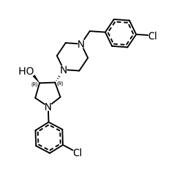 O[C@@H]1CN(c2cccc(Cl)c2)C[C@H]1N1CCN(Cc2ccc(Cl)cc2)CC1